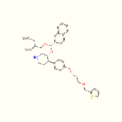 COC[C@@H](COC(O[C@H]1CNCC[C@@H]1c1ccc(OCCCOCc2cccs2)cc1)c1ccc2ccccc2c1)OC